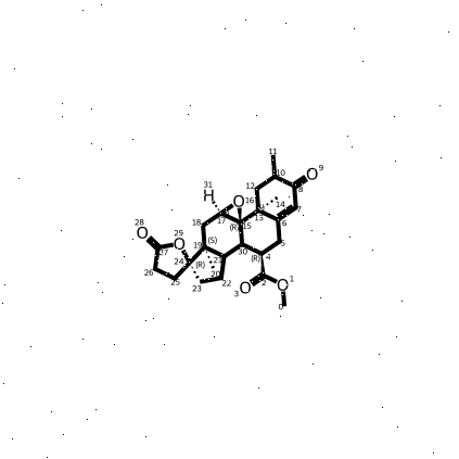 COC(=O)[C@@H]1CC2=CC(=O)C(C)C[C@]2(C)[C@@]23O[C@@H]2C[C@@]2(C)C(CC[C@@]24CCC(=O)O4)C13